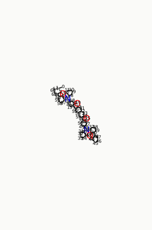 C=Cc1oc2c(N(c3ccccc3)c3ccc4c(c3)oc3cc5cc6oc7cc(N(c8ccccc8)c8cccc9c8oc8ccccc89)ccc7c6cc5cc34)cccc2c1/C=C\C